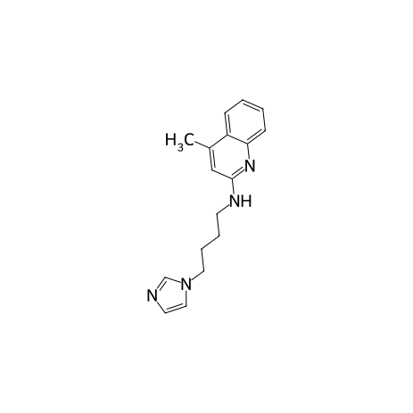 Cc1cc(NCCCCn2ccnc2)nc2ccccc12